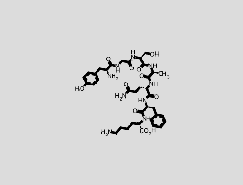 C[C@H](NC(=O)[C@H](CO)NC(=O)CNC(=O)[C@@H](N)Cc1ccc(O)cc1)C(=O)N[C@@H](CCC(N)=O)C(=O)N[C@@H](Cc1ccccc1)C(=O)N[C@@H](CCCCN)C(=O)O